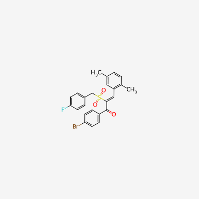 Cc1ccc(C)c(C=C(C(=O)c2ccc(Br)cc2)S(=O)(=O)Cc2ccc(F)cc2)c1